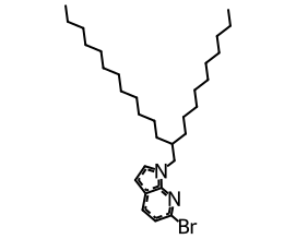 CCCCCCCCCCCCC(CCCCCCCCCC)Cn1ccc2ccc(Br)nc21